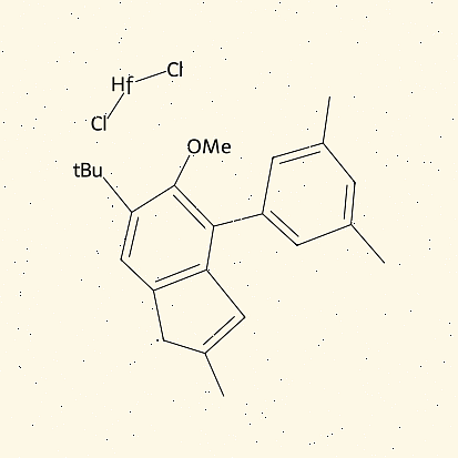 COc1c(C(C)(C)C)cc2c(c1-c1cc(C)cc(C)c1)C=C(C)[CH]2.[Cl][Hf][Cl]